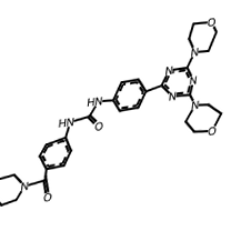 O=C(Nc1ccc(C(=O)N2CCCCC2)cc1)Nc1ccc(-c2nc(N3CCOCC3)nc(N3CCOCC3)n2)cc1